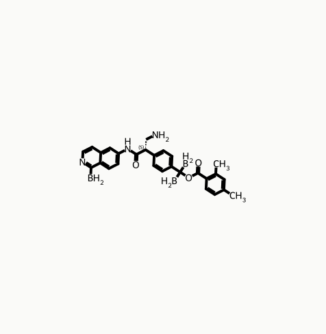 Bc1nccc2cc(NC(=O)[C@H](CN)c3ccc(C(B)(B)OC(=O)c4ccc(C)cc4C)cc3)ccc12